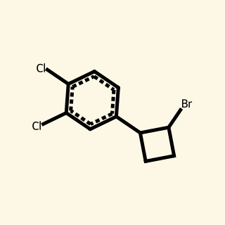 Clc1ccc(C2CCC2Br)cc1Cl